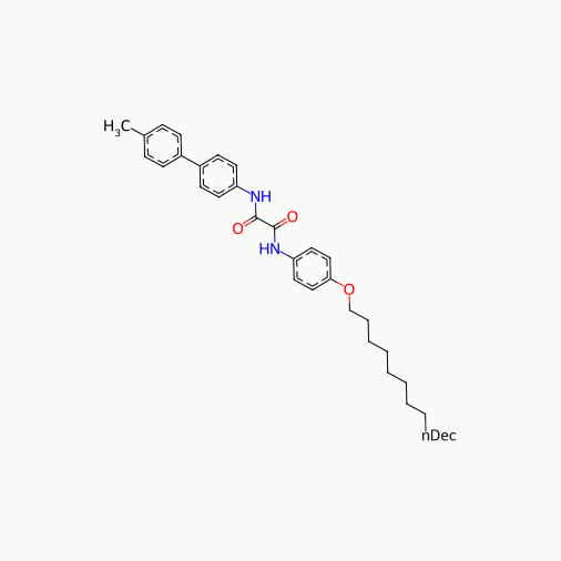 CCCCCCCCCCCCCCCCCCOc1ccc(NC(=O)C(=O)Nc2ccc(-c3ccc(C)cc3)cc2)cc1